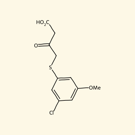 COc1cc(Cl)cc(SCC(=O)CC(=O)O)c1